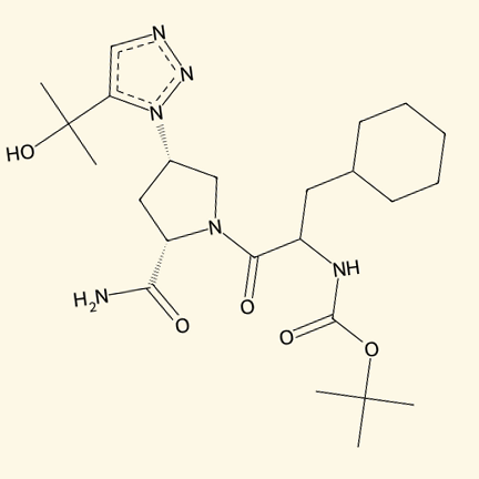 CC(C)(C)OC(=O)NC(CC1CCCCC1)C(=O)N1C[C@@H](n2nncc2C(C)(C)O)C[C@H]1C(N)=O